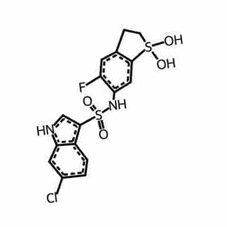 O=S(=O)(Nc1cc2c(cc1F)CCS2(O)O)c1c[nH]c2cc(Cl)ccc12